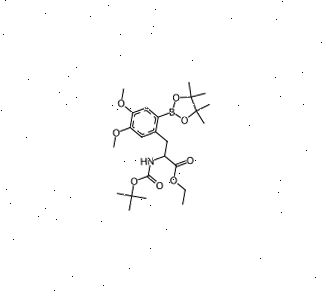 CCOC(=O)C(Cc1cc(OC)c(OC)cc1B1OC(C)(C)C(C)(C)O1)NC(=O)OC(C)(C)C